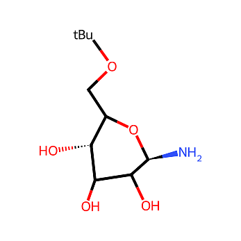 CC(C)(C)OCC1O[C@@H](N)C(O)C(O)[C@@H]1O